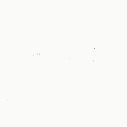 CCCCOC(=O)CC1(C=O)CC(c2ccc(OCc3cc(C)nc4ccccc34)cc2)=NO1